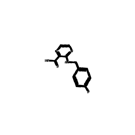 O=C(O)c1nccnc1NCc1ccc(F)cc1